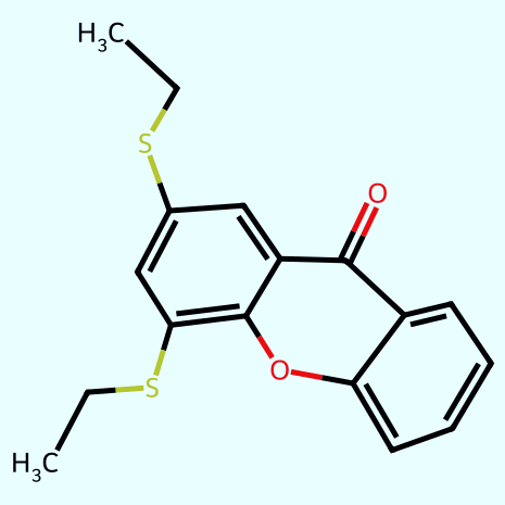 CCSc1cc(SCC)c2oc3ccccc3c(=O)c2c1